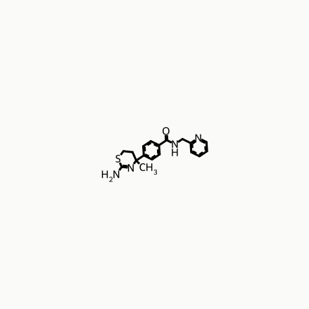 CC1(c2ccc(C(=O)NCc3ccccn3)cc2)CCSC(N)=N1